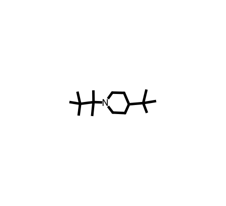 CC(C)(C)C1CCN(C(C)(C)C(C)(C)C)CC1